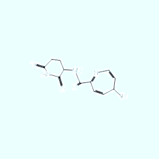 CC(C)C1C=CN=C(C(=O)NC2CCC(=O)NC2=O)C=C1